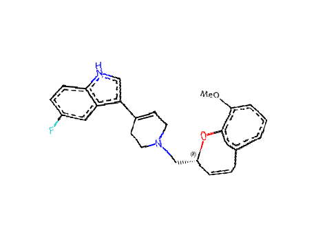 COc1cccc2c1O[C@@H](CN1CC=C(c3c[nH]c4ccc(F)cc34)CC1)C=C2